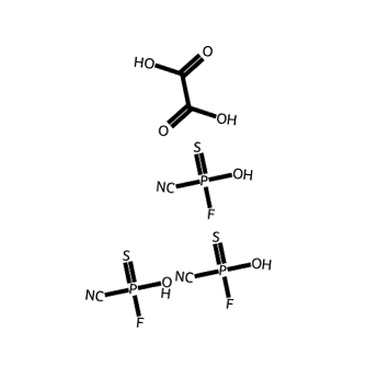 N#CP(O)(F)=S.N#CP(O)(F)=S.N#CP(O)(F)=S.O=C(O)C(=O)O